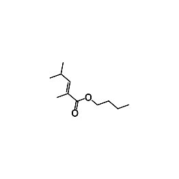 CCCCOC(=O)C(C)=CC(C)C